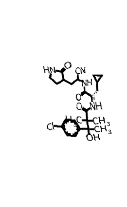 CC(C)(C(=O)N[C@@H](CC1CC1)C(=O)NC(C#N)CC1CCNC1=O)C(C)(O)c1ccc(Cl)cc1